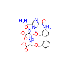 COC(=O)[C@@H](N)COCc1ccccc1.COC(=O)[C@@H](N)COCc1ccccc1.NC(=O)c1cnc(C(N)=O)cn1